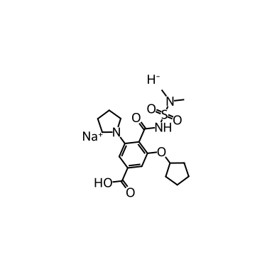 CN(C)S(=O)(=O)NC(=O)c1c(OC2CCCC2)cc(C(=O)O)cc1N1CCCC1.[H-].[Na+]